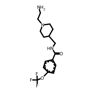 NCCN1CCC(CNC(=O)c2ccc(OC(F)(F)F)cc2)CC1